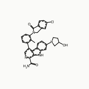 Cc1c(-c2cnc(C(N)=O)c3[nH]c4cc(N5CCC(O)C5)ccc4c23)cccc1N1Cc2cc(Cl)ccc2C1=O